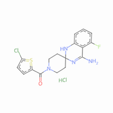 Cl.NC1=NC2(CCN(C(=O)c3ccc(Cl)s3)CC2)Nc2cccc(F)c21